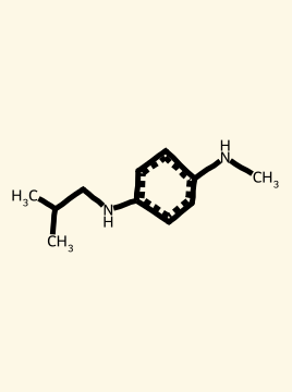 CNc1ccc(NCC(C)C)cc1